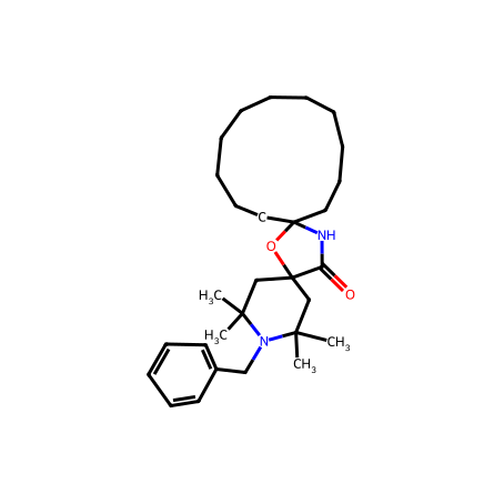 CC1(C)CC2(CC(C)(C)N1Cc1ccccc1)OC1(CCCCCCCCCCC1)NC2=O